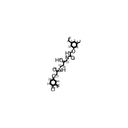 CCc1cc(C)cc(OCC(=O)NC[C@@H](O)CCNC(=O)COc2ccc(Cl)c(F)c2)c1